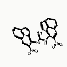 N=C(Nc1c([N+](=O)[O-])cc2cccc3c2c1C=C3)Nc1c([N+](=O)[O-])cc2cccc3c2c1C=C3